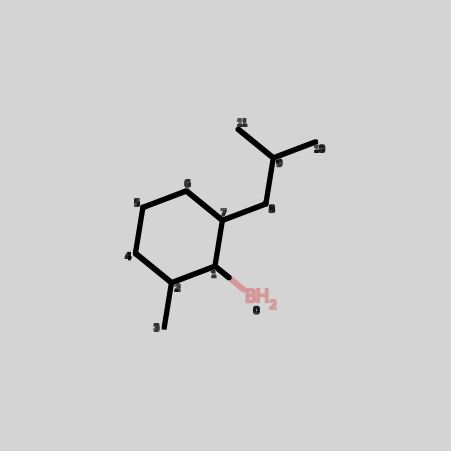 BC1C(C)CCCC1CC(C)C